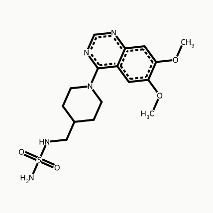 COc1cc2ncnc(N3CCC(CNS(N)(=O)=O)CC3)c2cc1OC